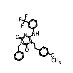 COc1ccc(CCn2c(Nc3cccc(C(F)(F)F)c3)nc(=O)n(Cc3ccccc3)c2=O)cc1